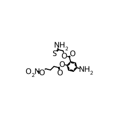 NC(=S)COC(=O)c1cc(N)ccc1OC(=O)CCCO[N+](=O)[O-]